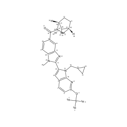 [2H]C([2H])([2H])Oc1ccc2cc(-c3nc4cc(C(=O)N5C[C@H]6CC[C@@H]5[C@@H]6N)ccc4n3C)n(CC3CC3)c2n1